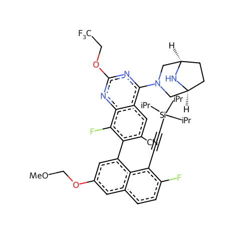 COCOc1cc(-c2c(C#N)cc3c(N4C[C@H]5CC[C@@H](C4)N5)nc(OCC(F)(F)F)nc3c2F)c2c(C#C[Si](C(C)C)(C(C)C)C(C)C)c(F)ccc2c1